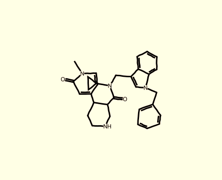 Cn1ccc(C2CCNCC2C(=O)N(Cc2cn(Cc3ccccc3)c3ccccc23)C2CC2)cc1=O